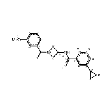 COc1cccc(C(C)N2CC(NC(=O)c3cc(C4CC4)cnn3)C2)c1